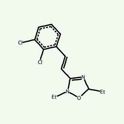 CCC1N=C(/C=C/c2cccc(Cl)c2Cl)N(CC)O1